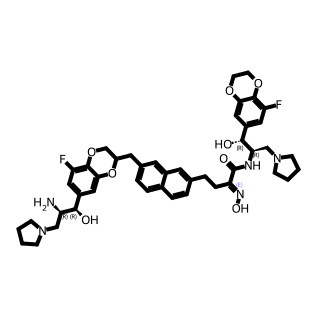 N[C@H](CN1CCCC1)[C@H](O)c1cc(F)c2c(c1)OC(Cc1ccc3ccc(CC/C(=N\O)C(=O)N[C@H](CN4CCCC4)[C@H](O)c4cc(F)c5c(c4)OCCO5)cc3c1)CO2